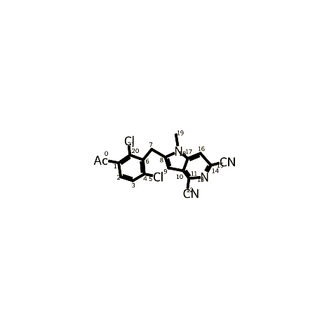 CC(=O)c1ccc(Cl)c(Cc2cc3c(C#N)nc(C#N)cc3n2C)c1Cl